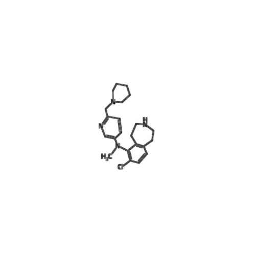 CN(c1ccc(CN2CCCCC2)nc1)c1c(Cl)ccc2c1CCNCC2